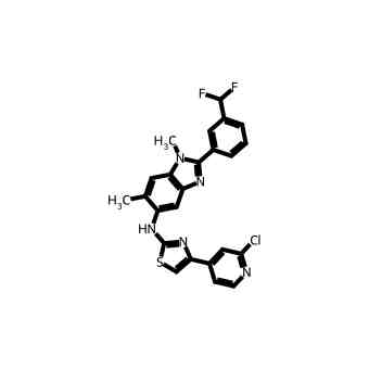 Cc1cc2c(cc1Nc1nc(-c3ccnc(Cl)c3)cs1)nc(-c1cccc(C(F)F)c1)n2C